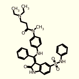 CCN(CC)CCC(=O)N(C)c1ccc(NC(=C2C(=O)Nc3ccc(S(=O)(=O)Nc4ccccc4)cc32)c2ccccc2)cc1